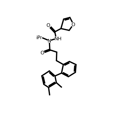 Cc1cccc(-c2ccccc2CCC(=O)N(NC(=O)C2C=COC2)C(C)C)c1C